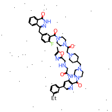 CCc1cccc(-c2cnc(C(=O)N3CCN(CC4CCN(CC(=O)N5CCN(C(=O)c6cc(Cc7n[nH]c(=O)c8ccccc78)ccc6F)CC5)CC4)CC3)c(NC(=O)CNCc3ncc(C)o3)c2)c1